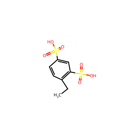 CCc1ccc(S(=O)(=O)O)cc1S(=O)(=O)O